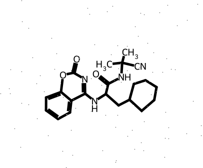 CC(C)(C#N)NC(=O)C(CC1CCCCC1)Nc1nc(=O)oc2ccccc12